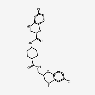 O=C(N[C@H]1CC[C@H](C(=O)NCC2CNc3cc(Cl)ccc3O2)CC1)C1CNc2cc(Cl)ccc2O1